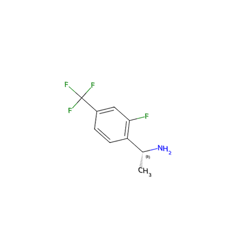 C[C@@H](N)c1ccc(C(F)(F)F)cc1F